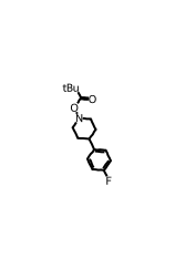 CC(C)(C)C(=O)ON1CCC(c2ccc(F)cc2)CC1